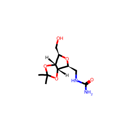 CC1(C)O[C@@H]2[C@H](O1)[C@@H](CO)O[C@H]2CNC(N)=O